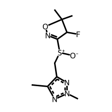 Cc1nn(C)nc1C[S+]([O-])C1=NOC(C)(C)C1F